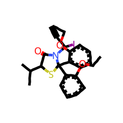 C#CC(I)N1C(=O)C(C(C)C)SC1(c1ccccc1OCC)c1ccccc1OCC